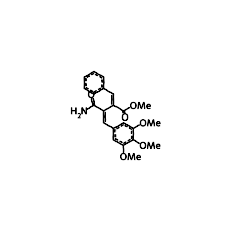 COC(=O)C(=C/c1ccccc1)/C(=C\c1cc(OC)c(OC)c(OC)c1)C(N)=O